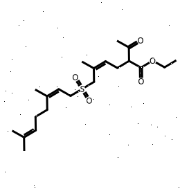 CCOC(=O)C(CC=C(C)CS(=O)(=O)CC=C(C)CCC=C(C)C)C(C)=O